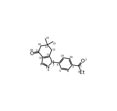 CCC(=O)c1ccc(-n2ncc3c2CC(C)(C)CC3=O)cc1